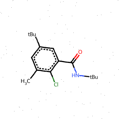 Cc1cc(C(C)(C)C)cc(C(=O)NC(C)(C)C)c1Cl